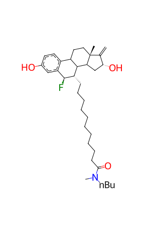 C=C1[C@H](O)CC2C3C(CC[C@]12C)c1ccc(O)cc1[C@H](F)[C@H]3CCCCCCCCCCC(=O)N(C)CCCC